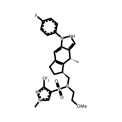 COCCN(C[C@H]1CCC2=C1[C@@H](C)C1=CNN(c3ccc(F)cc3)C1=C2)S(=O)(=O)c1cn(C)nc1C(F)(F)F